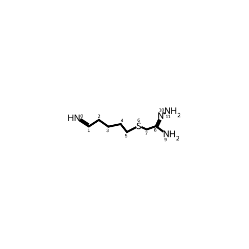 N=CCCCCSCC(N)=NN